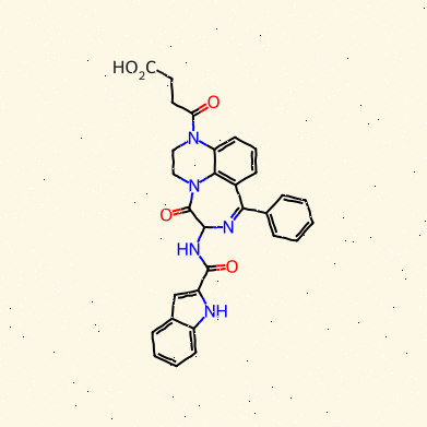 O=C(O)CCC(=O)N1CCN2C(=O)C(NC(=O)c3cc4ccccc4[nH]3)N=C(c3ccccc3)c3cccc1c32